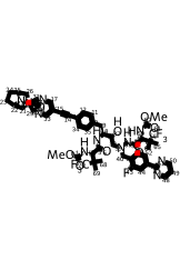 COC(=O)N[C@H](C(=O)N[C@@H](Cc1ccc(C#Cc2cnc(N3CC4CCC(C3)N4C3COC3)nc2)cc1)[C@@H](O)CN(Cc1c(F)cc(-c2ncccn2)cc1F)NC(=O)[C@@H](NC(=O)OC)C(C)(C)C(F)(F)F)C(C)(C)C(F)(F)F